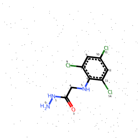 NNC(=O)CNc1c(Cl)cc(Cl)cc1Cl